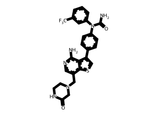 NC(=O)N(c1ccc(-c2csc3c(CN4CCNC(=O)C4)cnc(N)c23)cc1)c1cccc(C(F)(F)F)c1